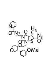 COc1ccccc1C(Cn1c2c(c(=O)n(C3CN(C(=O)c4ccccn4)C3)c1=O)C(C)C(c1ncco1)S2)OC1CCOCC1